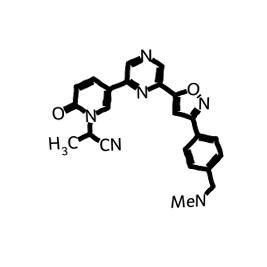 CNCc1ccc(-c2cc(-c3cncc(-c4ccc(=O)n(C(C)C#N)c4)n3)on2)cc1